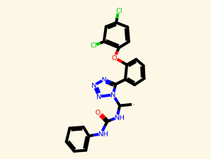 [CH2]C(NC(=O)Nc1ccccc1)n1nnnc1-c1ccccc1Oc1ccc(Cl)cc1Cl